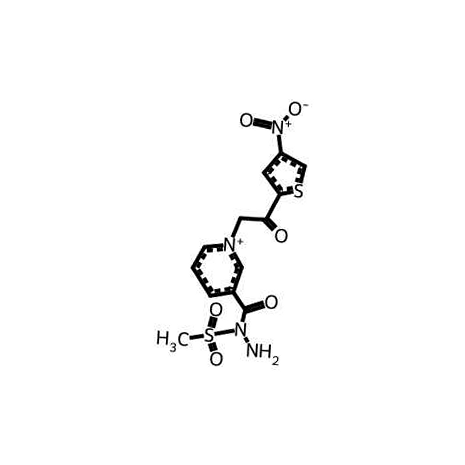 CS(=O)(=O)N(N)C(=O)c1ccc[n+](CC(=O)c2cc([N+](=O)[O-])cs2)c1